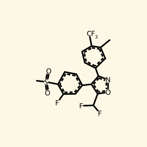 Cc1cc(-c2noc(C(F)F)c2-c2ccc(S(C)(=O)=O)c(F)c2)ccc1C(F)(F)F